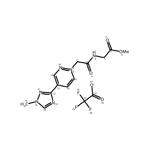 COC(=O)CNC(=O)C[n+]1ccc(-c2ncn(C)n2)cn1.O=C([O-])C(F)(F)F